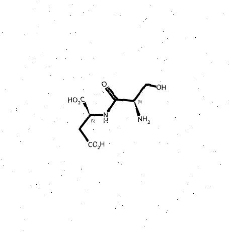 N[C@H](CO)C(=O)N[C@@H](CC(=O)O)C(=O)O